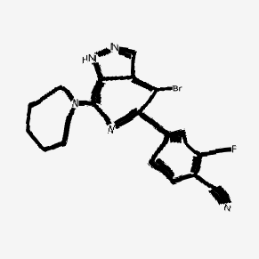 N#Cc1ccc(-c2nc(N3CCCCC3)c3[nH]ncc3c2Br)cc1F